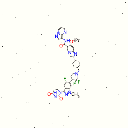 CC(C)Oc1cc2nc([C@H]3CC[C@H](CN4CCC(c5cc6c(cc5F)c(N5CCC(=O)NC5=O)nn6C)C(F)(F)C4)CC3)cn2cc1C(=O)Nc1cnn2cccnc12